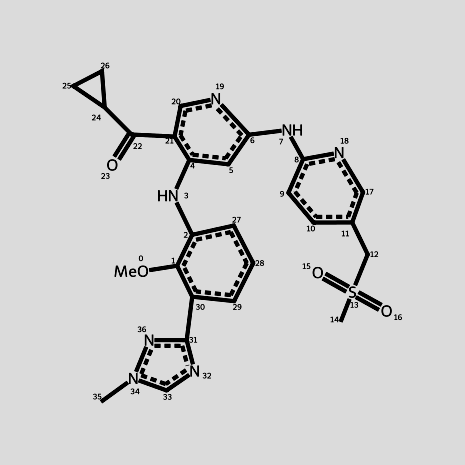 COc1c(Nc2cc(Nc3ccc(CS(C)(=O)=O)cn3)ncc2C(=O)C2CC2)cccc1-c1ncn(C)n1